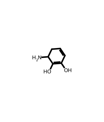 NC1CC=CC(O)=C1O